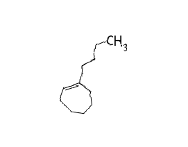 CCCCC1=CCCCCC1